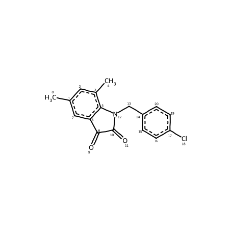 Cc1cc(C)c2c(c1)C(=O)C(=O)N2Cc1ccc(Cl)cc1